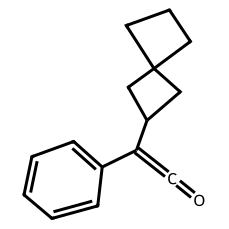 O=C=C(c1ccccc1)C1CC2(CCC2)C1